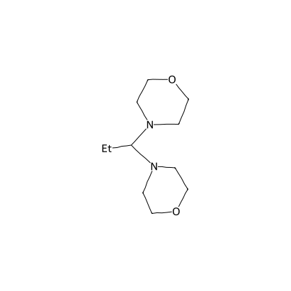 CCC(N1CCOCC1)N1CCOCC1